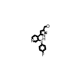 O=Cc1cc(-c2ccncc2Sc2ccc(F)cc2)[nH]n1